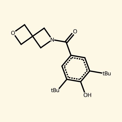 CC(C)(C)c1cc(C(=O)N2CC3(COC3)C2)cc(C(C)(C)C)c1O